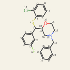 Fc1cccc(C(Sc2ccccc2Cl)[C@@H]2CN(Cc3ccccc3)CCO2)c1